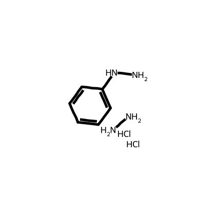 Cl.Cl.NN.NNc1ccccc1